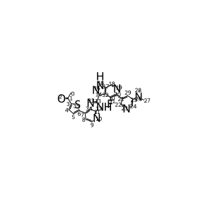 CC(=O)c1ccc(-c2ccnc3[nH]c(-c4n[nH]c5cnc(-c6cncc(N(C)C)c6)c(F)c45)nc23)s1